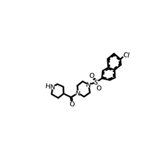 O=C(C1CCNCC1)N1CCN(S(=O)(=O)c2ccc3cc(Cl)ccc3c2)CC1